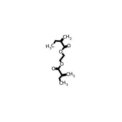 C=C(CC)C(=O)OCCOC(=O)C(=C)CC